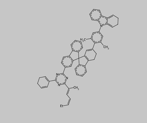 CC/C=C\C=C(/C)c1nc(C2=CCCC=C2)nc(-c2ccc3c(c2)C2(C4=C(CCC(c5c(C)cc(-n6c7c(c8ccccc86)=CCCC=7)cc5C)=C4)c4ccccc42)c2ccccc2-3)n1